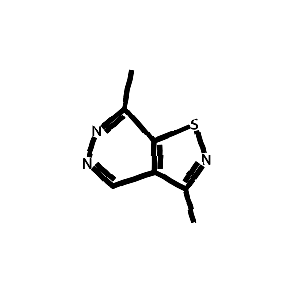 Cc1nsc2c(C)nncc12